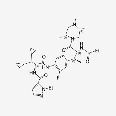 CCC(=O)N[C@@H](C(=O)N1C[C@@H](C)N(C)C[C@H]1C)[C@@H](C)c1ccc(NC(=O)[C@@H](NC(=O)c2ccnn2CC)C(C2CC2)C2CC2)c(F)c1